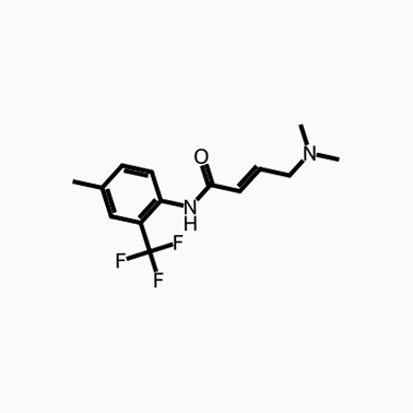 Cc1ccc(NC(=O)/C=C/CN(C)C)c(C(F)(F)F)c1